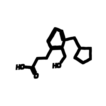 O=C(O)CCc1cccc(CC2CCCC2)c1CO